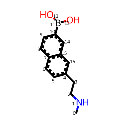 CNCCc1ccc2ccc(B(O)O)cc2c1